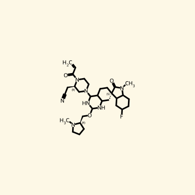 C=CC(=O)N1CCN(C2NC(OC[C@H]3CCCN3C)NC3C[C@]4(CCC32)C(=O)N(C)C2CCC(F)CC24)C[C@H]1CC#N